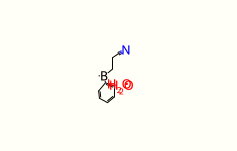 N#CCC[B]c1ccccc1.O.O